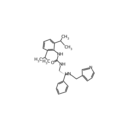 CC(C)c1cccc(C(C)C)c1NC(=O)NC[C@H](NCc1cccnc1)c1ccccc1